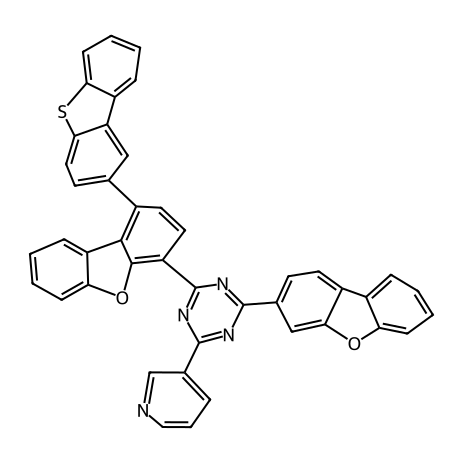 c1cncc(-c2nc(-c3ccc4c(c3)oc3ccccc34)nc(-c3ccc(-c4ccc5sc6ccccc6c5c4)c4c3oc3ccccc34)n2)c1